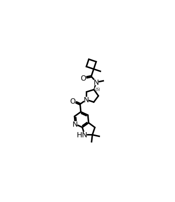 CN(C(=O)C1(C)CCC1)[C@H]1CCN(C(=O)c2cnc3c(c2)CC(C)(C)N3)C1